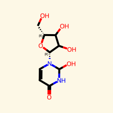 O=C1C=CN([C@@H]2O[C@H](CO)C(O)C2O)C(O)N1